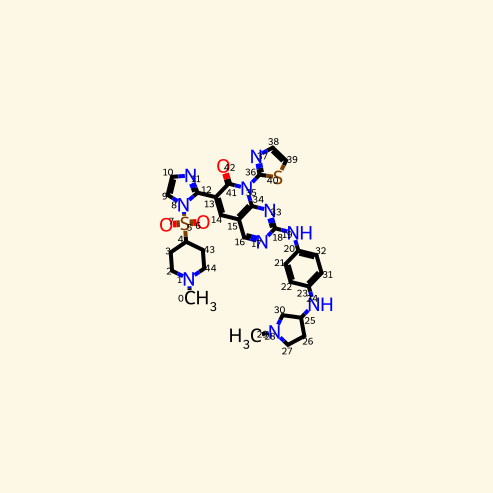 CN1CCC(S(=O)(=O)n2ccnc2-c2cc3cnc(Nc4ccc(NC5CCN(C)C5)cc4)nc3n(-c3nccs3)c2=O)CC1